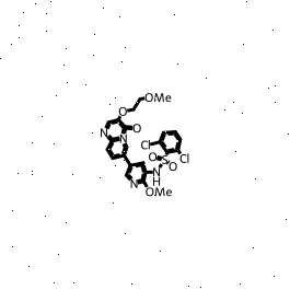 COCCOc1cnc2ccc(-c3cnc(OC)c(NS(=O)(=O)c4c(Cl)cccc4Cl)c3)cn2c1=O